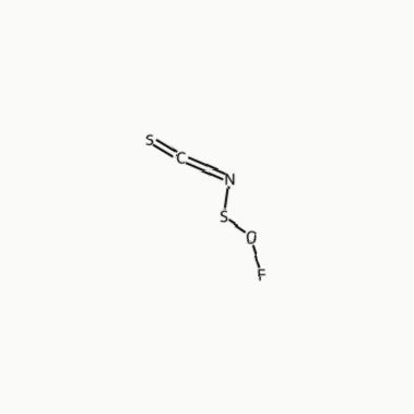 FOSN=C=S